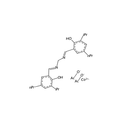 CC(=O)[O-].CC(=O)[O-].CCCc1cc(C=NCN=Cc2cc(CCC)cc(C(C)C)c2O)c(O)c(C(C)C)c1.[Co+2]